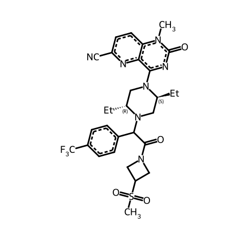 CC[C@H]1CN(C(C(=O)N2CC(S(C)(=O)=O)C2)c2ccc(C(F)(F)F)cc2)[C@H](CC)CN1c1nc(=O)n(C)c2ccc(C#N)nc12